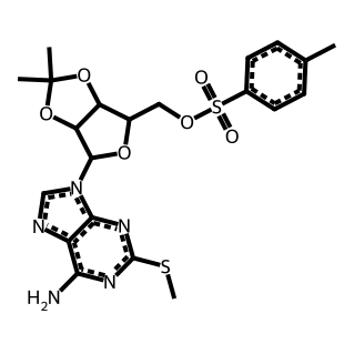 CSc1nc(N)c2ncn(C3OC(COS(=O)(=O)c4ccc(C)cc4)C4OC(C)(C)OC43)c2n1